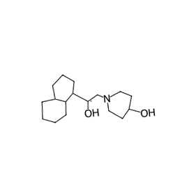 O[C](CN1CCC(O)CC1)C1CCCC2CCCCC21